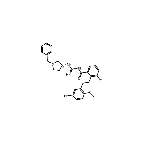 COc1ccc(Br)cc1CCc1c(F)cccc1C(=O)NC(=N)N[C@@H]1CCN(Cc2ccccc2)C1